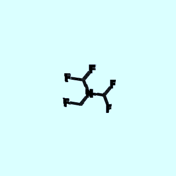 FCN(C(F)F)C(F)F